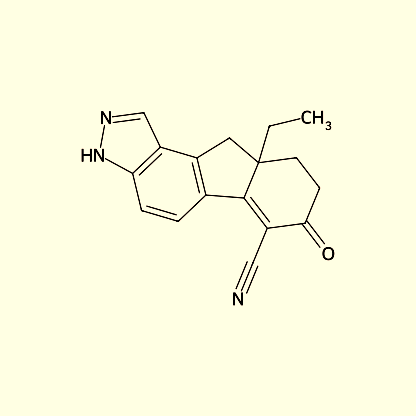 CCC12CCC(=O)C(C#N)=C1c1ccc3[nH]ncc3c1C2